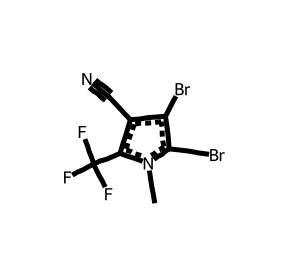 Cn1c(Br)c(Br)c(C#N)c1C(F)(F)F